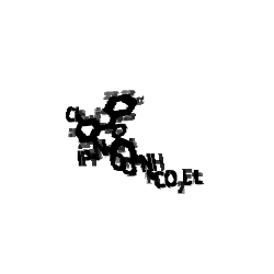 CCOC(=O)CNC(=O)CC1OC(c2ccccc2)c2cc(Cl)ccc2N(C(C)C)C1=O